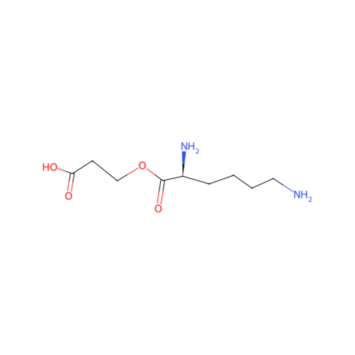 NCCCC[C@H](N)C(=O)OCCC(=O)O